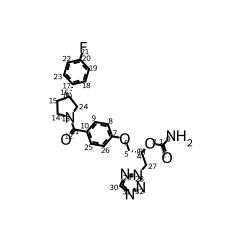 NC(=O)O[C@@H](COc1ccc(C(=O)N2CC[C@H](c3ccc(F)cc3)C2)cc1)Cn1ncnn1